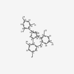 Cc1cc(C)c(-c2cn(-c3c(C)cc(C)cc3C)n[n+]2-c2c(C)cc(C)cc2C)c(C)c1